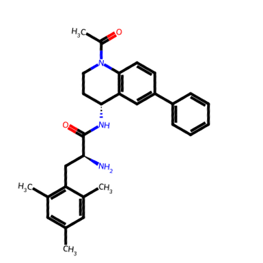 CC(=O)N1CC[C@@H](NC(=O)[C@@H](N)Cc2c(C)cc(C)cc2C)c2cc(-c3ccccc3)ccc21